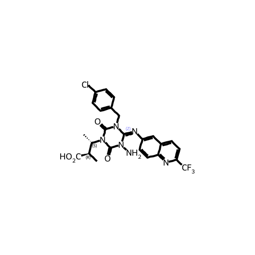 C[C@@H](C(=O)O)[C@H](C)n1c(=O)n(N)/c(=N\c2ccc3nc(C(F)(F)F)ccc3c2)n(Cc2ccc(Cl)cc2)c1=O